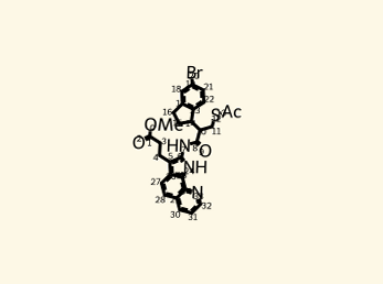 COC(=O)CCc1c(NC(=O)C(CSC(C)=O)C2CCc3cc(Br)ccc32)[nH]c2c1ccc1cccnc12